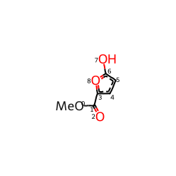 COC(=O)c1ccc(O)o1